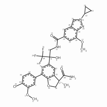 COc1cc(-c2nc(C(O)(CNC(=O)c3cc(OC)c4nn(C5CC5)cc4c3)C(F)(F)F)cc3c2OC[C@]3(C)C(N)=O)ccc1Cl